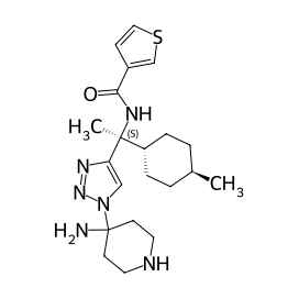 C[C@@](NC(=O)c1ccsc1)(c1cn(C2(N)CCNCC2)nn1)[C@H]1CC[C@H](C)CC1